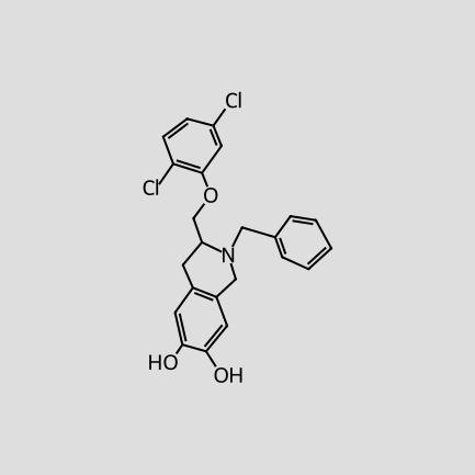 Oc1cc2c(cc1O)CN(Cc1ccccc1)C(COc1cc(Cl)ccc1Cl)C2